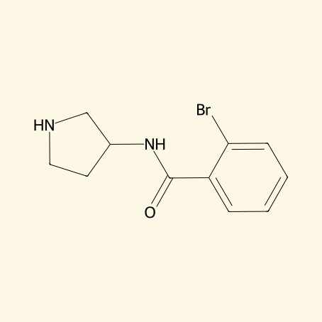 O=C(NC1CCNC1)c1ccccc1Br